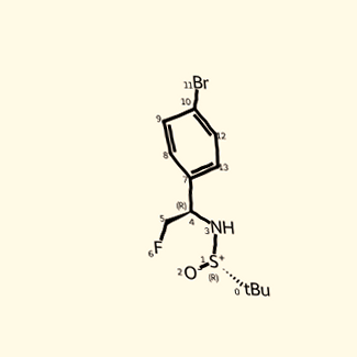 CC(C)(C)[S@+]([O-])N[C@@H](CF)c1ccc(Br)cc1